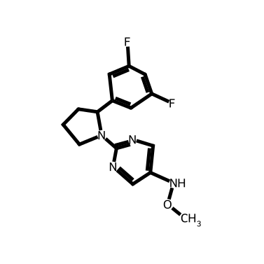 CONc1cnc(N2CCCC2c2cc(F)cc(F)c2)nc1